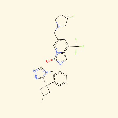 Cn1cnnc1[C@]1(c2cccc(-n3cc4c(C(F)(F)F)cc(CN5CC[C@H](F)C5)cn4c3=O)c2)C[C@H](C)C1